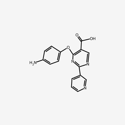 Nc1ccc(Oc2nc(-c3cccnc3)ncc2C(=O)O)cc1